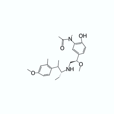 CC[C@@H](NC[C@H](OC)c1ccc(O)c(N(C)C(C)=O)c1)C(C)c1ccc(OC)cc1C